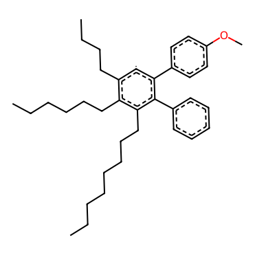 CCCCCCCCc1c(CCCCCC)c(CCCC)[c]c(-c2ccc(OC)cc2)c1-c1ccccc1